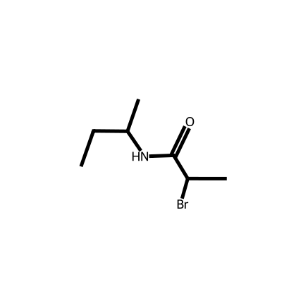 CCC(C)NC(=O)C(C)Br